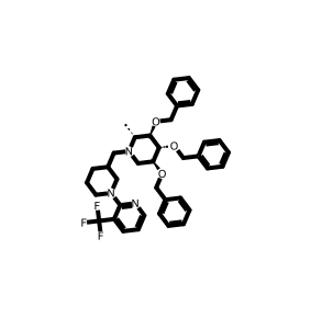 C[C@@H]1[C@@H](OCc2ccccc2)[C@H](OCc2ccccc2)[C@@H](OCc2ccccc2)CN1CC1CCCN(c2ncccc2C(F)(F)F)C1